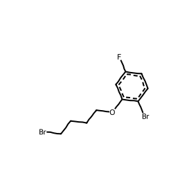 Fc1ccc(Br)c(OCCCCBr)c1